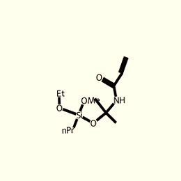 C=CC(=O)NC(C)(C)O[Si](CCC)(OC)OCC